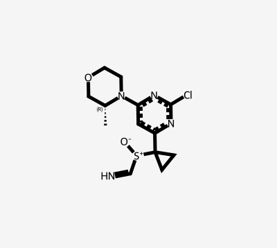 C[C@@H]1COCCN1c1cc(C2([S+]([O-])C=N)CC2)nc(Cl)n1